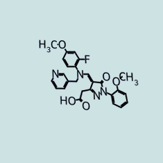 COc1ccc(N(/C=C2/C(=O)N(c3ccccc3OC)N=C2CC(=O)O)Cc2cccnc2)c(F)c1